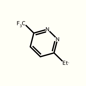 C[CH]c1ccc(C(F)(F)F)nn1